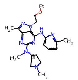 CCOCCn1nc(C)c2nc(N(C)[C@H]3CCN(C)C3)nc(Nc3cccc(C)n3)c21